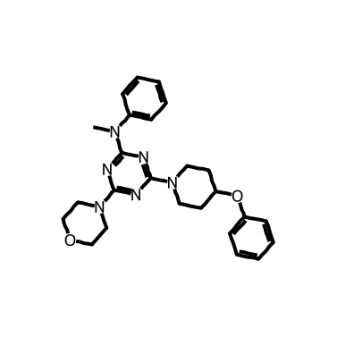 CN(c1ccccc1)c1nc(N2CCOCC2)nc(N2CCC(Oc3ccccc3)CC2)n1